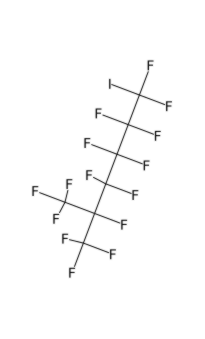 FC(F)(F)C(F)(C(F)(F)F)C(F)(F)C(F)(F)C(F)(F)C(F)(F)I